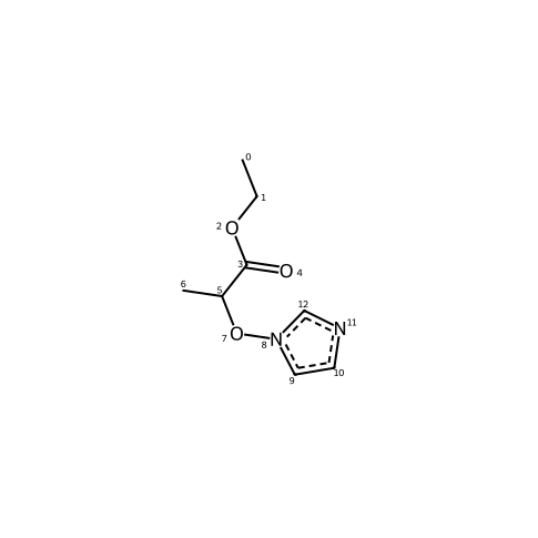 CCOC(=O)C(C)On1ccnc1